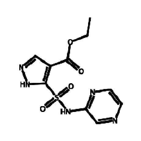 CCOC(=O)c1cn[nH]c1S(=O)(=O)Nc1cnccn1